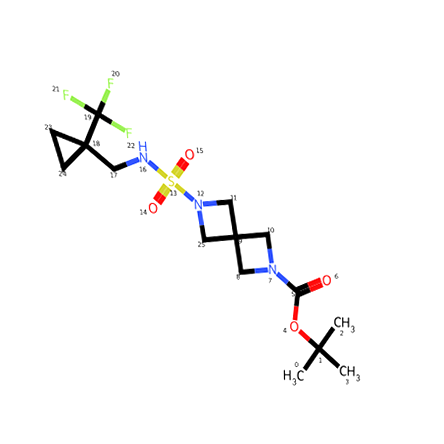 CC(C)(C)OC(=O)N1CC2(C1)CN(S(=O)(=O)NCC1(C(F)(F)F)CC1)C2